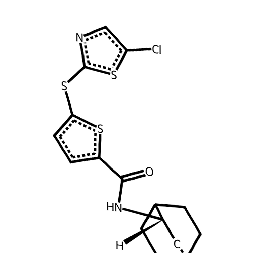 O=C(N[C@H]1CN2CCC1CC2)c1ccc(Sc2ncc(Cl)s2)s1